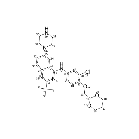 CC(C)(C)c1nc(Nc2ccc(OCC3OCCCO3)c(Cl)c2)c2cc(N3CCNCC3)ccc2n1